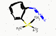 CS(C)(C)c1ccccc1N=[N+]=[N-]